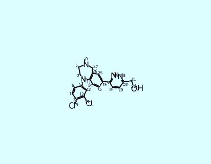 CN1CCN(c2ccc(Cl)c(Cl)c2)c2ccc(-c3ccc(CO)nn3)cc2C1